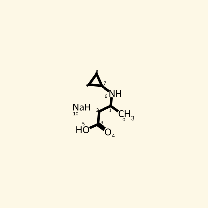 CC(CC(=O)O)NC1CC1.[NaH]